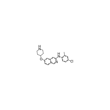 Cc1cc(Cl)ccc1Nc1cc2cc(OC3CCNCC3)ccc2cn1